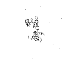 CC(NC(=O)OC(C)(C)C)C1CCN(c2ccc(Cl)cc2NC(=O)c2cnn3cccnc23)CC1